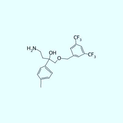 Cc1ccc(C(O)(CCN)COCc2cc(C(F)(F)F)cc(C(F)(F)F)c2)cc1